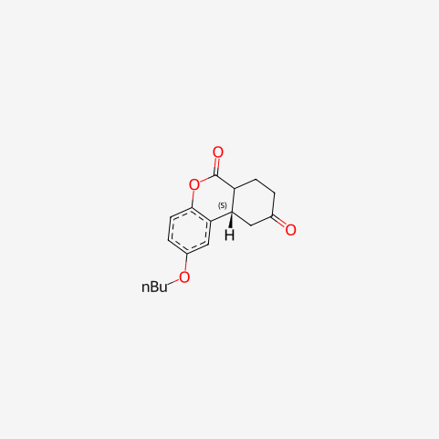 CCCCOc1ccc2c(c1)[C@H]1CC(=O)CCC1C(=O)O2